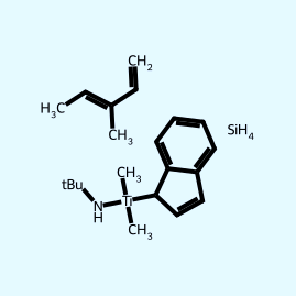 C=CC(C)=CC.CC(C)(C)[NH][Ti]([CH3])([CH3])[CH]1C=Cc2ccccc21.[SiH4]